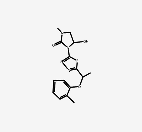 Cc1ccccc1OC(C)c1nnc(N2C(=O)N(C)CC2O)s1